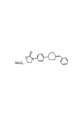 COC[C@H]1CN(c2ccc(C3CCC(=Cc4ccccc4)CC3)cc2)C(=O)O1